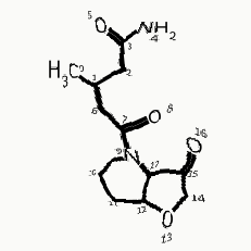 CC(CC(N)=O)CC(=O)N1CCC2OCC(=O)C21